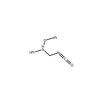 CCC[SiH](CN=C=O)OC(C)C